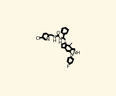 C[C@H]1C2=CNN(c3ccc(F)cc3)C2=CC2=C1[C@@H](CC(NC(=O)NCc1ccc(Cl)cn1)c1ccccc1)CC2